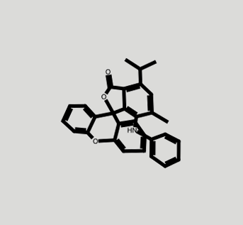 Cc1cc(C(C)C)c2c(c1Nc1ccccc1)C1(OC2=O)c2ccccc2Oc2ccccc21